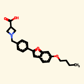 CCCCOc1ccc2cc(-c3ccc(CN4CC(C(=O)O)C4)cc3)oc2c1